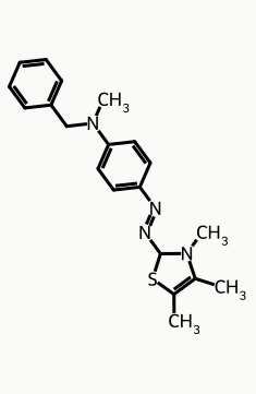 CC1=C(C)N(C)C(N=Nc2ccc(N(C)Cc3ccccc3)cc2)S1